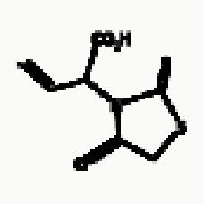 [CH]=CC(C(=O)O)N1C(=O)CSC1=S